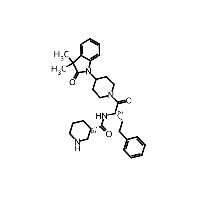 CC1(C)C(=O)N(C2CCN(C(=O)[C@H](CCc3ccccc3)NC(=O)[C@H]3CCCNC3)CC2)c2ccccc21